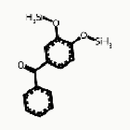 O=C(c1ccccc1)c1ccc(O[SiH3])c(O[SiH3])c1